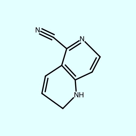 N#Cc1nccc2c1C=CCN2